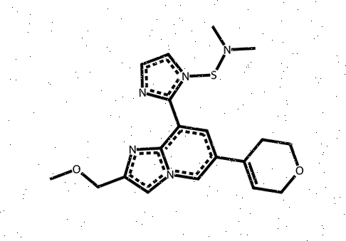 COCc1cn2cc(C3=CCOCC3)cc(-c3nccn3SN(C)C)c2n1